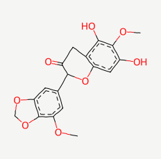 COc1cc(C2Oc3cc(O)c(OC)c(O)c3CC2=O)cc2c1OCO2